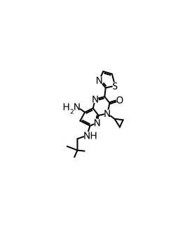 CC(C)(C)CNc1cc(N)c2nc(-c3nccs3)c(=O)n(C3CC3)c2n1